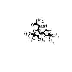 CC1[C@H]([C@H]2COC(C)(C)O2)[C@@H]([C@@H](O)C(N)=O)OC1(C)C